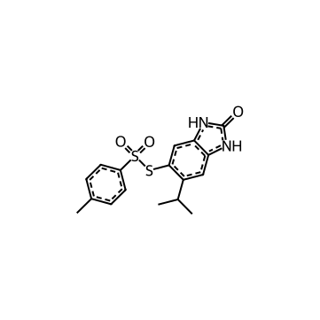 Cc1ccc(S(=O)(=O)Sc2cc3[nH]c(=O)[nH]c3cc2C(C)C)cc1